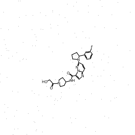 O=C(NC1CCN(C(=O)CO)CC1)c1cnc2ccc(N3CCCC3c3cccc(F)c3)nn12